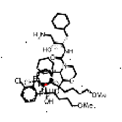 COCCCC[C@@](O)(NC(=O)[N+]1(C2C([C@@](O)(CCCCOC)c3cccc(Cl)c3F)OCCN2C(=O)N[C@@H](CC2CCCCC2)[C@H](O)CN)CCCCC1)c1cccc(Cl)c1F